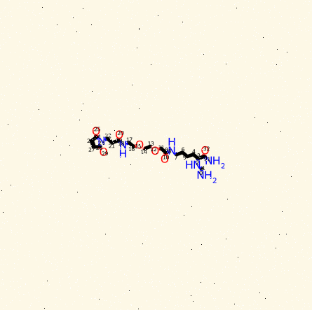 NCNC(CCCCNC(=O)COCCOCCNC(=O)CCN1C(=O)C=CC1=O)C(N)=O